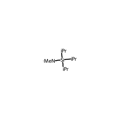 C[N][Si](C(C)C)(C(C)C)C(C)C